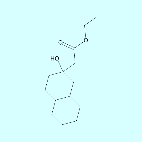 CCOC(=O)CC1(O)CCC2CCCCC2C1